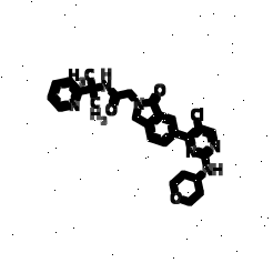 CC(C)(NC(=O)CN1Cc2ccc(-c3nc(NC4CCOCC4)ncc3Cl)cc2C1=O)c1ccccn1